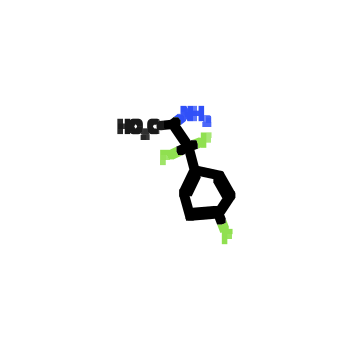 NC(C(=O)O)C(F)(F)c1ccc(F)cc1